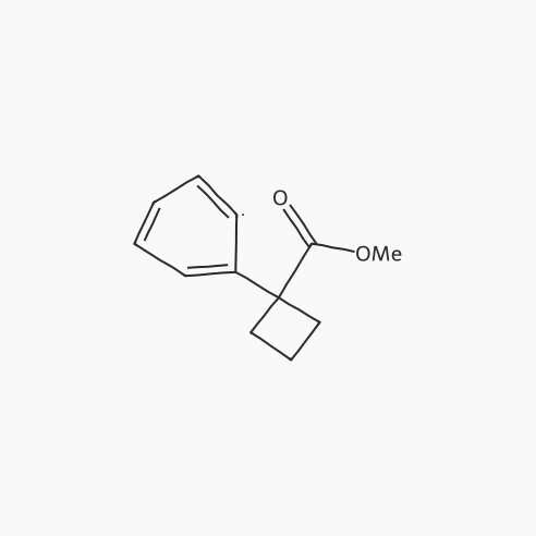 COC(=O)C1(c2[c]cccc2)CCC1